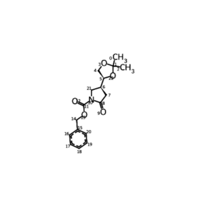 CC1(C)OC[C@H]([C@H]2CC(=O)N(C(=O)OCc3ccccc3)C2)O1